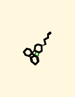 C=CCCC[C@H]1CC[C@H](C2(C3(Cl)C=CCC=C3)CCCCC2)CC1